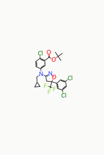 CC(C)(C)OC(=O)c1cc(N(CC2CC2)C2=NOC(c3cc(Cl)cc(Cl)c3)(C(F)(F)F)C2)ccc1Cl